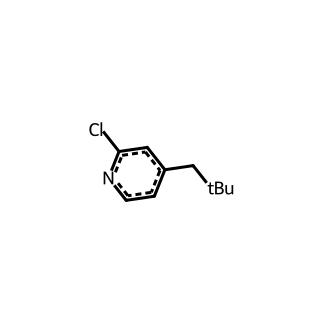 CC(C)(C)Cc1ccnc(Cl)c1